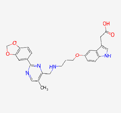 Cc1cnc(-c2ccc3c(c2)OCO3)nc1CNCCCOc1ccc2[nH]cc(CC(=O)O)c2c1